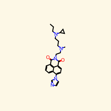 CCCN(CCCN(C)CCN1C(=O)c2cccc3c(-n4ccnc4)ccc(c23)C1=O)C1CC1